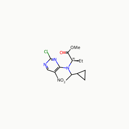 CC[C@H](C(=O)OC)N(c1nc(Cl)ncc1[N+](=O)[O-])C(C)C1CC1